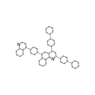 c1ccc(-c2ccc(-c3cc(-c4ccc(-c5ccccc5)cc4)c4cc(-c5ccc(-c6ccnc7ccccc67)cc5)c5ccccc5c4n3)cc2)cc1